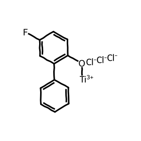 Fc1ccc([O][Ti+3])c(-c2ccccc2)c1.[Cl-].[Cl-].[Cl-]